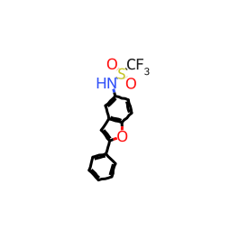 O=S(=O)(Nc1ccc2oc(-c3ccccc3)cc2c1)C(F)(F)F